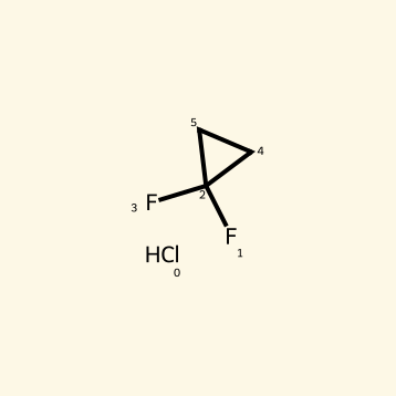 Cl.FC1(F)CC1